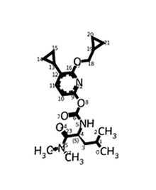 CC(C)C[C@H](NC(=O)Oc1ccc(C2CC2)c(OCC2CC2)n1)C(=O)N(C)C